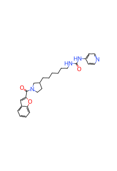 O=C(NCCCCCCC1CCN(C(=O)c2cc3ccccc3o2)C1)Nc1ccncc1